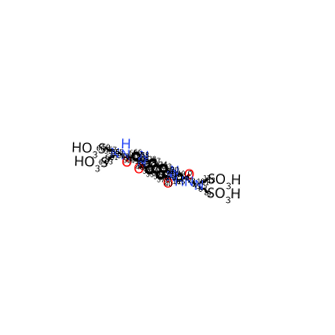 O=C(NCCN(CCCS(=O)(=O)O)CCCS(=O)(=O)O)c1ccc2c(c1)nc1c3ccc4c5ccc6c7c(ccc(c8ccc(c(=O)n21)c3c84)c57)c(=O)n1c2cc(C(=O)NCCN(CCCS(=O)(=O)O)CCCS(=O)(=O)O)ccc2nc61